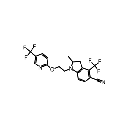 CC1Cc2c(ccc(C#N)c2C(F)(F)F)N1CCOc1ccc(C(F)(F)F)cn1